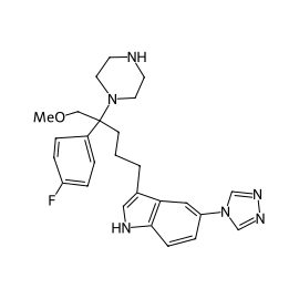 COCC(CCCc1c[nH]c2ccc(-n3cnnc3)cc12)(c1ccc(F)cc1)N1CCNCC1